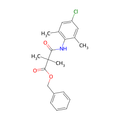 Cc1cc(Cl)cc(C)c1NC(=O)C(C)(C)C(=O)OCc1ccccc1